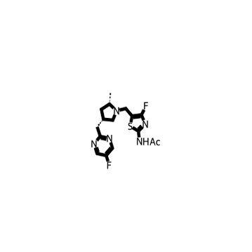 CC(=O)Nc1nc(F)c(CN2C[C@H](Cc3ncc(F)cn3)C[C@@H]2C)s1